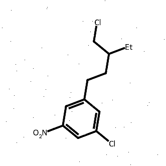 CCC(CCl)CCc1cc(Cl)cc([N+](=O)[O-])c1